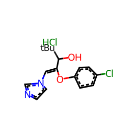 CC(C)(C)C(O)/C(=C/n1ccnc1)Oc1ccc(Cl)cc1.Cl